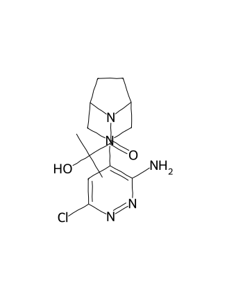 CC(C)(O)C(=O)N1C2CCC1CN(c1cc(Cl)nnc1N)C2